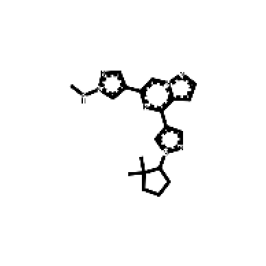 CPn1cc(-c2cn3nccc3c(-c3cnn(C4CCCC4(C)C)c3)n2)cn1